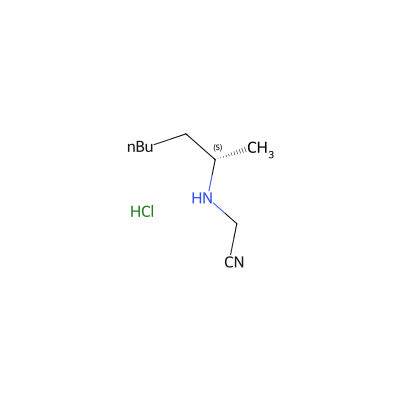 CCCCC[C@H](C)NCC#N.Cl